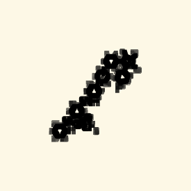 Cc1c(-c2cccc(N3CCN(c4ccc(NSc5ccc(NSc6ccccc6)c(S(=O)(=O)C(F)(F)F)c5)cc4)CC3)c2)c(-c2ccc(F)cc2)n(C)c1C